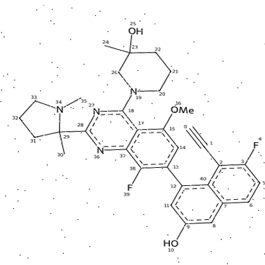 C#Cc1c(F)ccc2cc(O)cc(-c3cc(OC)c4c(N5CCCC(C)(O)C5)nc(C5(C)CCCN5C)nc4c3F)c12